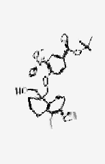 CC(C)(C)OC(=O)c1ccc(OCC2(CO)CCCc3c2ccc(Cl)c3F)c([N+](=O)[O-])c1